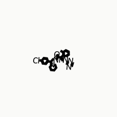 Cc1cccc2c1c(C(=O)NCC(c1ccc(Cl)cc1)N1CCCCC1)cn2-c1cnccn1